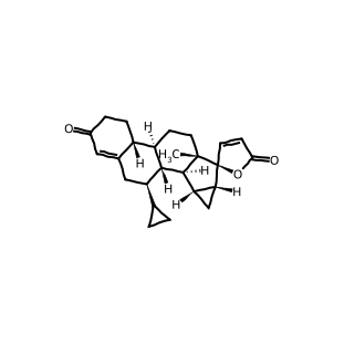 C[C@]12CC[C@H]3[C@H]([C@@H]1[C@H]1C[C@H]1[C@@]21C=CC(=O)O1)[C@@H](C1CC1)CC1=CC(=O)CC[C@@H]13